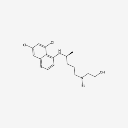 CCN(CCO)CCC[C@H](C)Nc1ccnc2cc(Cl)cc(Cl)c12